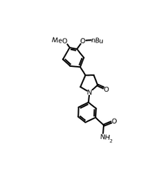 CCCCOc1cc(C2CC(=O)N(c3cccc(C(N)=O)c3)C2)ccc1OC